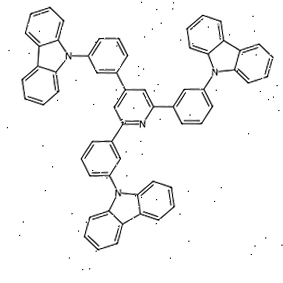 c1cc(-c2cc(-c3cccc(-n4c5ccccc5c5ccccc54)c3)nc(-c3cccc(-n4c5ccccc5c5ccccc54)c3)c2)cc(-n2c3ccccc3c3ccccc32)c1